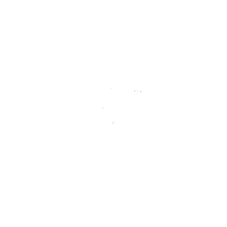 COC(=O)C1(C)CC2CC1=CO2